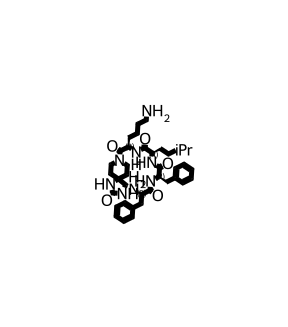 CC(C)CC[C@@H](NC(=O)[C@@H](Cc1ccccc1)NC(=O)[C@H](N)Cc1ccccc1)C(=O)N[C@H](CCCCN)C(=O)N1CCC2(CC1)CNC(=O)N2